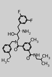 CCc1cccc(CN(C[C@@H](O)[C@@H](N)Cc2cc(F)cc(F)c2)C(=O)c2cc(C)cc(C(=O)NCC(C)C)c2)c1